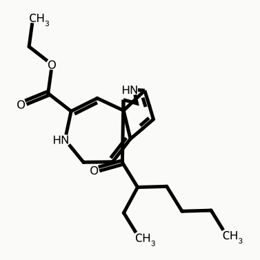 CCCCC(CC)C(=O)C1CNC2=CC=CC3=CCNC(C(=O)OCC)=CC321